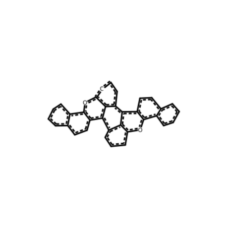 c1ccc2c(c1)ccc1c2oc2cccc3c2c1c1cccc2oc4c5ccccc5ccc4c3c21